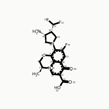 C[C@H]1COc2c(N3C[C@H](N)[C@H](C(F)F)C3)c(F)cc3c(=O)c(C(=O)O)cn1c23